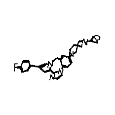 Fc1ccc(-c2cc3n(c2)Cc2cc(N4CCC5(C4)CN(C4COC4)C5)ccc2-n2ccnc2-3)cc1